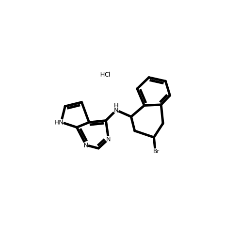 BrC1Cc2ccccc2C(Nc2ncnc3[nH]ccc23)C1.Cl